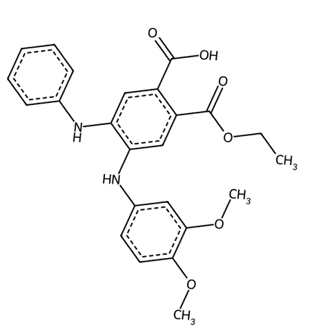 CCOC(=O)c1cc(Nc2ccc(OC)c(OC)c2)c(Nc2ccccc2)cc1C(=O)O